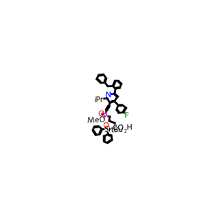 COP(=O)(C#Cc1c(-c2ccc(F)cc2)cc(-c2ccccc2Cc2ccccc2)nc1C(C)C)CC(CC(=O)O)O[Si](c1ccccc1)(c1ccccc1)C(C)(C)C